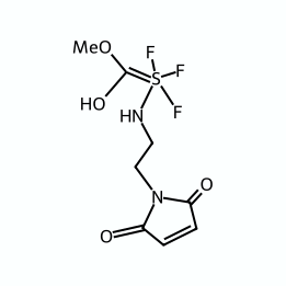 COC(O)=S(F)(F)(F)NCCN1C(=O)C=CC1=O